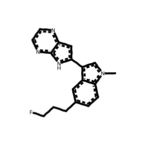 Cn1cc(-c2cc3nccnc3[nH]2)c2cc(CCCF)ccc21